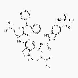 CCC(=O)N1CC[C@H]2CC[C@@H](C(=O)N[C@@H](CCC(N)=O)C(=O)NC(c3ccccc3)c3ccccc3)N2C(=O)[C@@H](NC(=O)c2cc3cc(C(=O)P(=O)(O)O)ccc3[nH]2)C1